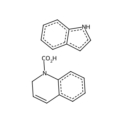 O=C(O)N1CC=Cc2ccccc21.c1ccc2[nH]ccc2c1